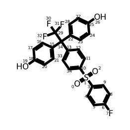 O=S(=O)(c1ccc(F)cc1)c1ccc(C(c2ccc(O)cc2)(c2ccc(O)cc2)C(F)(F)F)cc1